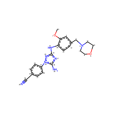 COc1cc(CN2CCOCC2)ccc1Nc1nc(N)n(-c2ccc(C#N)cc2)n1